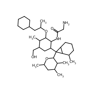 CC(CC1CCCCC1)OC1C(C)C(CO)CC(C2(C3OC(C)CC(C)C3C)C3CCCC(C)C32)C1NC(=O)CN